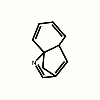 C1=CC2C=C3C=NC2(C=C1)C3